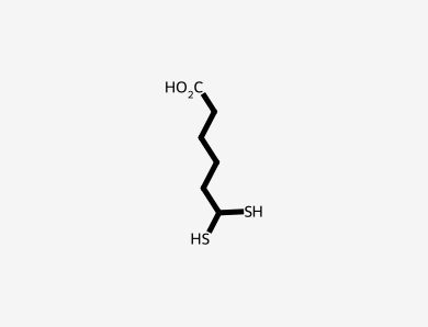 O=C(O)CCCC[C](S)S